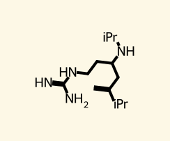 C=C(CC(CCNC(=N)N)NC(C)C)C(C)C